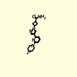 CN1CCN(c2cccc(-c3cnn(C4CC(C(N)=O)C4)c3)n2)CC1